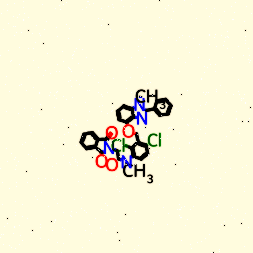 CN(C(=O)CN1C(=O)c2ccccc2C1=O)c1ccc(Cl)c(COc2cccc3c2nc(-c2ccccc2)n3C)c1Cl